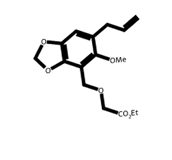 C=CCc1cc2c(c(COCC(=O)OCC)c1OC)OCO2